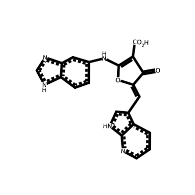 O=C(O)C1=C(Nc2ccc3[nH]cnc3c2)OC(=Cc2c[nH]c3ncccc23)C1=O